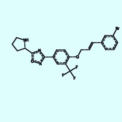 FC(F)(F)c1cc(-c2noc(C3CCCN3)n2)ccc1OC/C=C/c1cccc(Br)c1